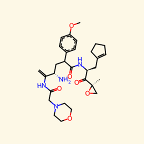 C=C(NC(=O)CN1CCOCC1)[C@@H](N)CC(C(=O)N[C@@H](CC1=CCCC1)C(=O)[C@@]1(C)CO1)c1ccc(OC)cc1